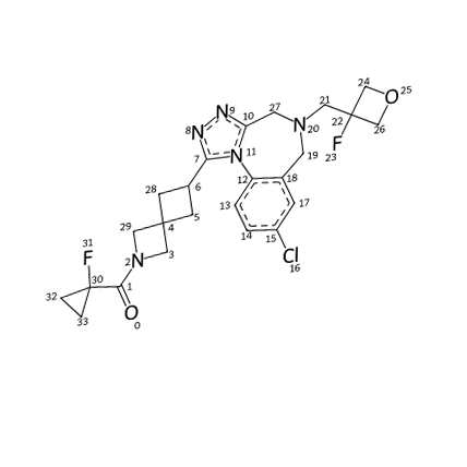 O=C(N1CC2(CC(c3nnc4n3-c3ccc(Cl)cc3CN(CC3(F)COC3)C4)C2)C1)C1(F)CC1